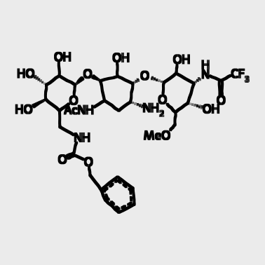 COCC1O[C@H](O[C@H]2C(O)[C@H](O[C@H]3OC(CNC(=O)OCc4ccccc4)[C@@H](O)[C@H](O)C3O)C(NC(C)=O)C[C@H]2N)C(O)[C@H](NC(=O)C(F)(F)F)[C@@H]1O